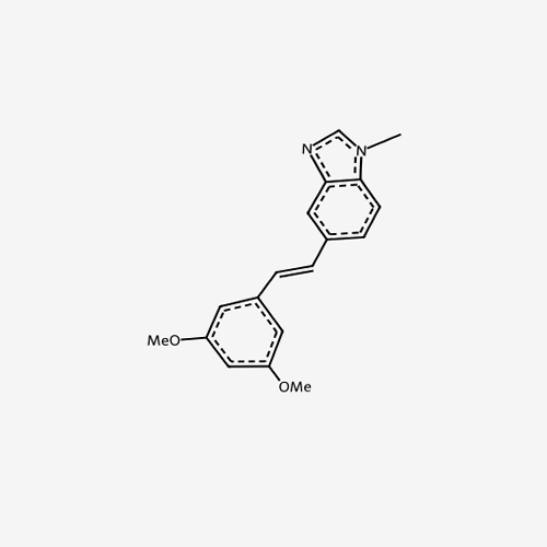 COc1cc(C=Cc2ccc3c(c2)ncn3C)cc(OC)c1